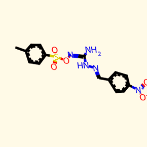 Cc1ccc(S(=O)(=O)ON=C(N)NN=Cc2ccc([N+](=O)[O-])cc2)cc1